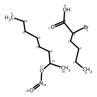 CCCCC(Br)C(=O)O.CCCCCCC(C)ON=O